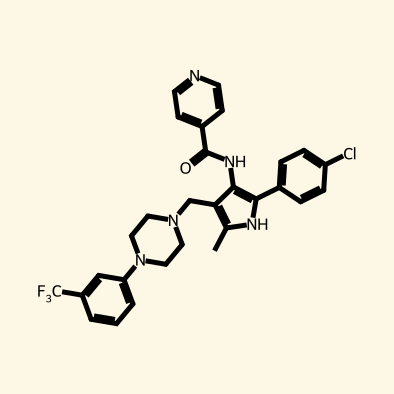 Cc1[nH]c(-c2ccc(Cl)cc2)c(NC(=O)c2ccncc2)c1CN1CCN(c2cccc(C(F)(F)F)c2)CC1